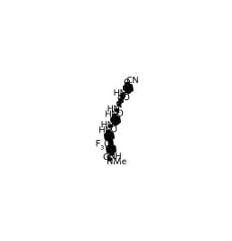 CNC(=O)Nc1ccc(C(C)(c2ccc(NC(=O)Nc3cccc(NC(=O)NCCCOC(=O)Nc4cccc(OC#N)c4)c3)cc2)C(F)(F)F)cc1